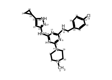 CN1CCN(c2nc(NCc3ccc(Cl)cc3)nc(Nc3cc(C4CC4)[nH]n3)n2)CC1